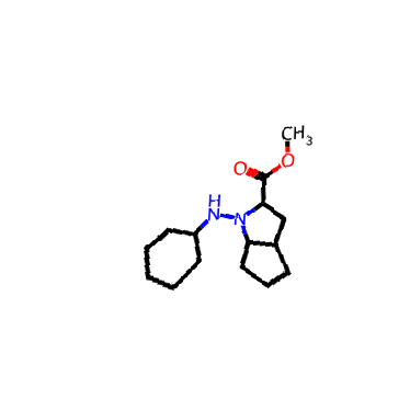 COC(=O)C1CC2CCCC2N1NC1CCCCC1